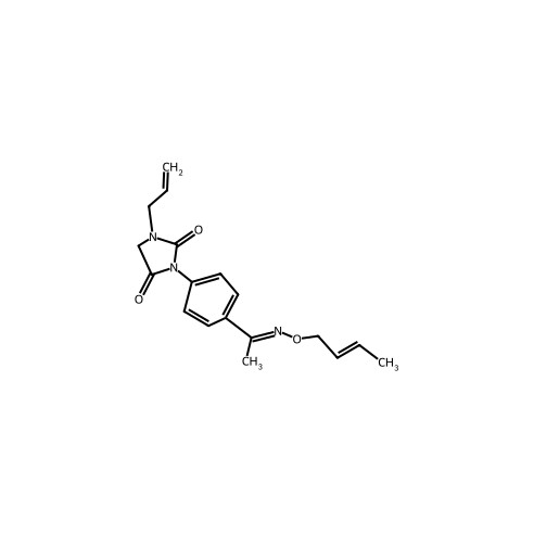 C=CCN1CC(=O)N(c2ccc(C(C)=NOCC=CC)cc2)C1=O